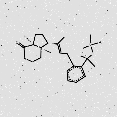 CC(=CCc1ccccc1C(C)(C)O[Si](C)(C)C)[C@H]1CC[C@@H]2C(=O)CCC[C@@]21C